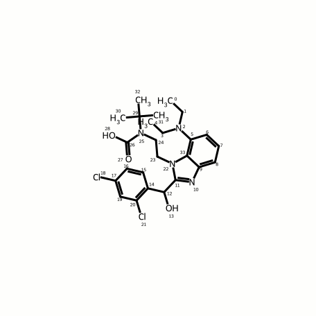 CCN(CC)c1cccc2nc(C(O)c3ccc(Cl)cc3Cl)n(CCN(C(=O)O)C(C)(C)C)c12